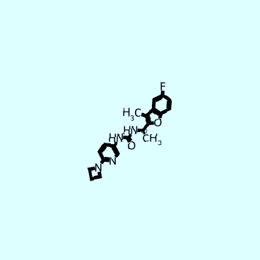 Cc1c([C@@H](C)NC(=O)Nc2ccc(N3CCC3)nc2)oc2ccc(F)cc12